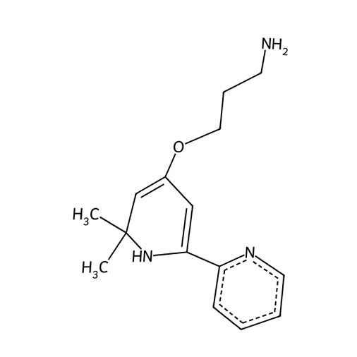 CC1(C)C=C(OCCCN)C=C(c2ccccn2)N1